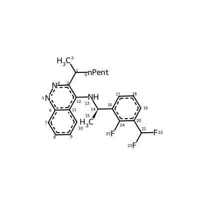 CCCCCC(C)c1nnc2ccccc2c1N[C@H](C)c1cccc(C(F)F)c1F